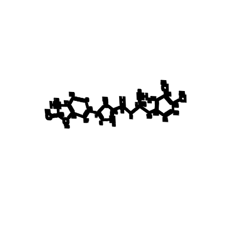 N[C@H](CNc1ncc(-c2ccc3[nH]c(=O)oc3c2)s1)Cc1ccc(Cl)c(Cl)c1